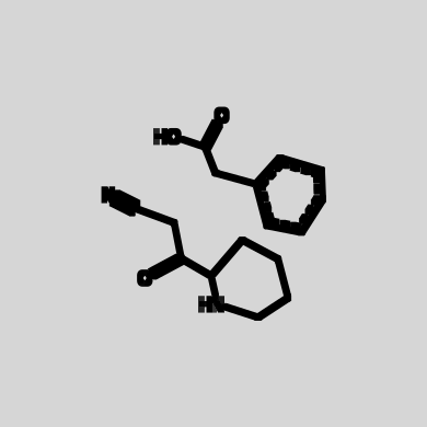 N#CCC(=O)C1CCCCN1.O=C(O)Cc1ccccc1